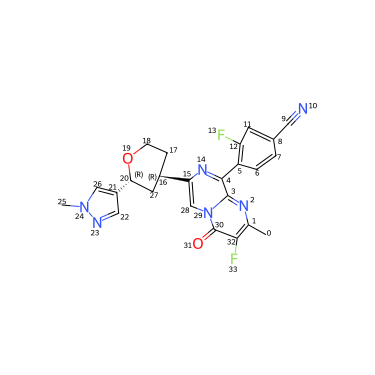 Cc1nc2c(-c3ccc(C#N)cc3F)nc([C@@H]3CCO[C@@H](c4cnn(C)c4)C3)cn2c(=O)c1F